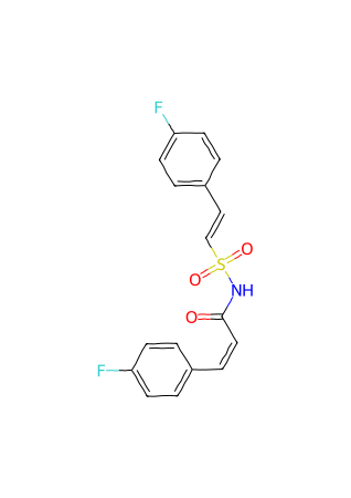 O=C(/C=C\c1ccc(F)cc1)NS(=O)(=O)/C=C/c1ccc(F)cc1